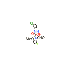 COc1ccc(F)cc1N(C=O)C(C)C(O)C(=O)NCc1cccc(Cl)c1